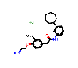 COc1cc(CC(=O)Nc2cccc(C3CCCCCC3)c2)ccc1OCCN.Cl